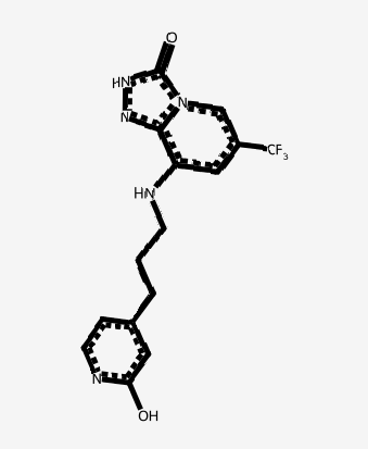 O=c1[nH]nc2c(NCCCc3ccnc(O)c3)cc(C(F)(F)F)cn12